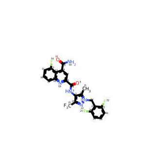 Cc1c(NC(=O)c2cc(C(N)=O)c3c(F)cccc3n2)c(C(F)(F)F)nn1Cc1c(F)cccc1F